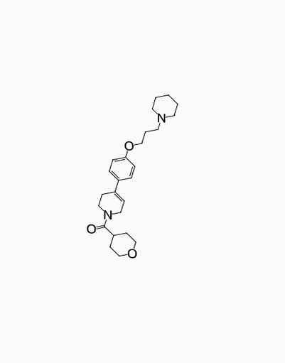 O=C(C1CCOCC1)N1CC=C(c2ccc(OCCCN3CCCCC3)cc2)CC1